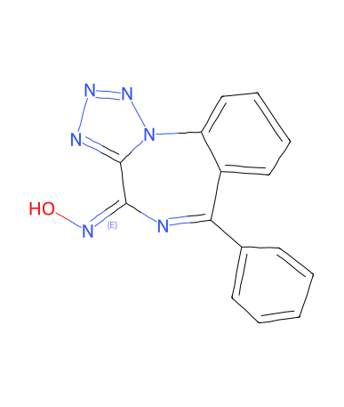 O/N=c1/nc(-c2ccccc2)c2ccccc2n2nnnc12